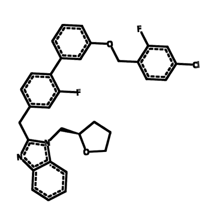 Fc1cc(Cl)ccc1COc1cccc(-c2ccc(Cc3nc4ccccc4n3C[C@H]3CCCO3)cc2F)c1